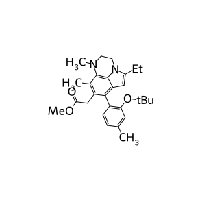 CCc1cc2c(-c3ccc(C)cc3OC(C)(C)C)c(CC(=O)OC)c(C)c3c2n1CCN3C